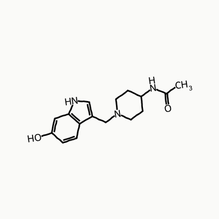 CC(=O)NC1CCN(Cc2c[nH]c3cc(O)ccc23)CC1